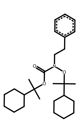 CC(C)(OC(=O)N(CCc1ccccc1)OC(C)(C)C1CCCCC1)C1CCCCC1